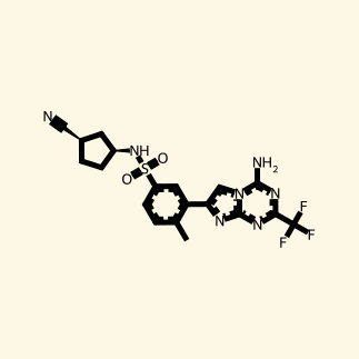 Cc1ccc(S(=O)(=O)N[C@H]2CC[C@@H](C#N)C2)cc1-c1cn2c(N)nc(C(F)(F)F)nc2n1